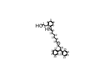 OCCc1ccccc1NCCCCCCOCCC(c1ccccc1)c1ccccc1